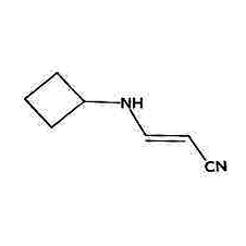 N#C/C=C/NC1CCC1